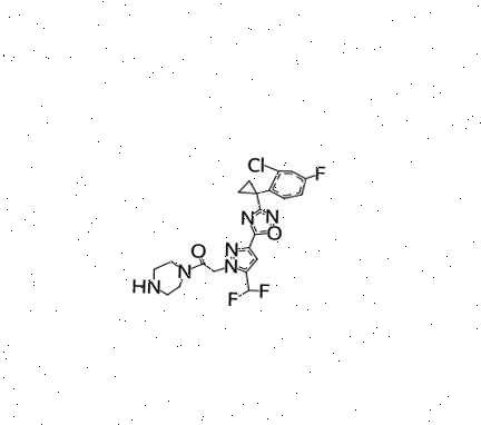 O=C(Cn1nc(-c2nc(C3(c4ccc(F)cc4Cl)CC3)no2)cc1C(F)F)N1CCNCC1